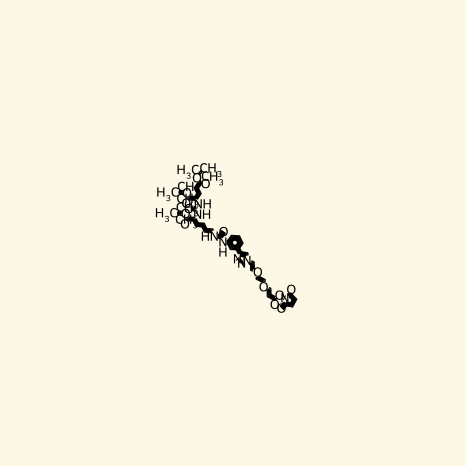 CC(C)(C)OC(=O)CCC(NC(=O)NC(CCCCNC(=O)Nc1cccc(-c2cn(CCOCCOCCC(=O)ON3C(=O)CCC3=O)nn2)c1)C(=O)OC(C)(C)C)C(=O)OC(C)(C)C